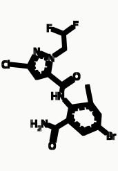 Cc1cc(Br)cc(C(N)=O)c1NC(=O)c1cc(Cl)nn1CC(F)F